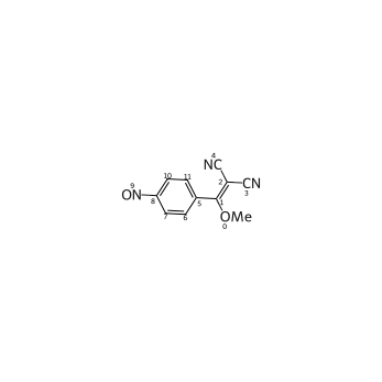 COC(=C(C#N)C#N)c1ccc(N=O)cc1